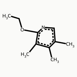 CCOc1ncc(C)c(C)c1C